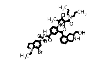 CCCN(CCC)C(=O)c1nn(-c2ccc(C(=O)NS(=O)(=O)c3cc(Br)c4c(c3)CCN4CC)cc2C(=O)c2cccc3c2CC(CO)NC3)c(C)c1Cl